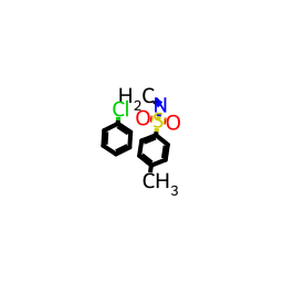 C=NS(=O)(=O)c1ccc(C)cc1.Clc1ccccc1